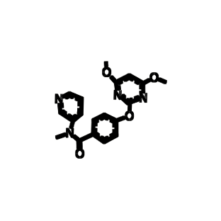 COc1cc(OC)nc(Oc2ccc(C(=O)N(C)c3cccnc3)cc2)n1